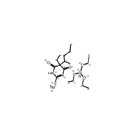 CCCC(C)C1(CC)C(=O)N=C([O-])NC1=O.CCO[SiH](OCC)OCC.[Na+]